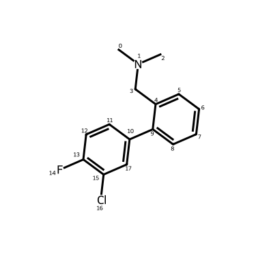 CN(C)Cc1ccccc1-c1ccc(F)c(Cl)c1